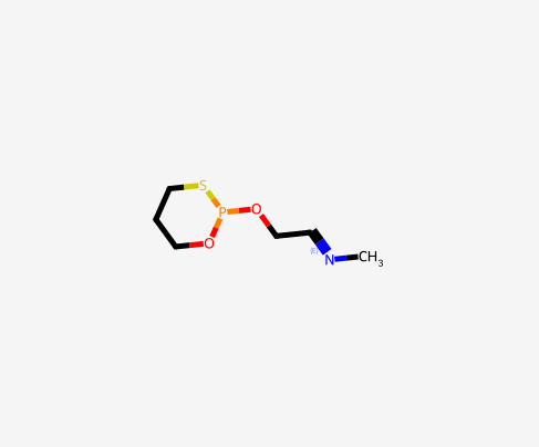 C/N=C/COP1OCCCS1